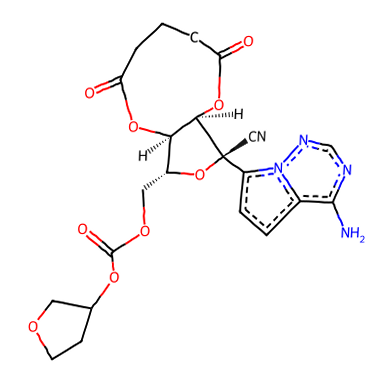 N#C[C@@]1(c2ccc3c(N)ncnn23)O[C@H](COC(=O)OC2CCOC2)[C@H]2OC(=O)CCCC(=O)O[C@H]21